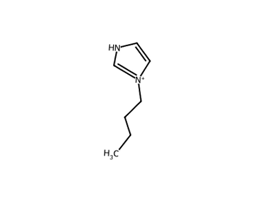 CCCC[n+]1cc[nH]c1